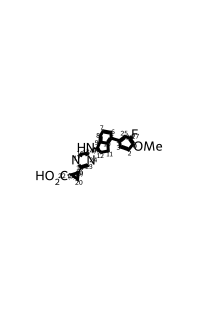 COc1ccc(-c2cccc3c2CC[C@H]3Nc2cnc([C@H]3C[C@@H]3C(=O)O)cn2)cc1F